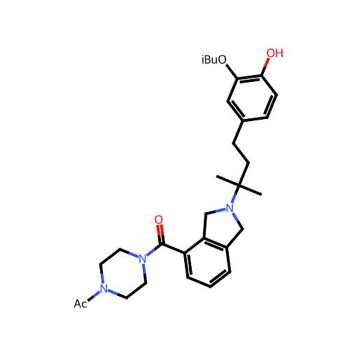 CC(=O)N1CCN(C(=O)c2cccc3c2CN(C(C)(C)CCc2ccc(O)c(OCC(C)C)c2)C3)CC1